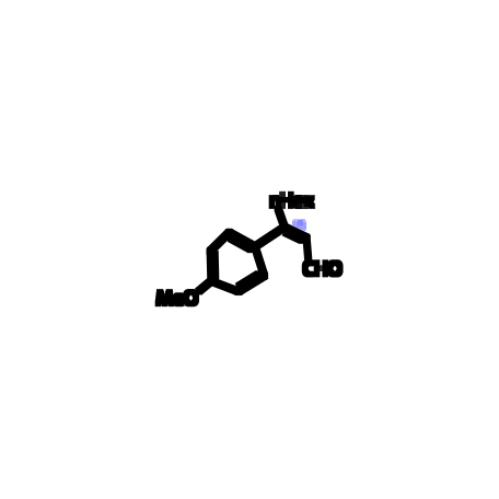 CCCCCC/C(=C/C=O)c1ccc(OC)cc1